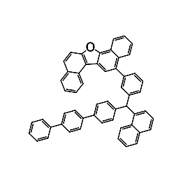 c1ccc(-c2ccc(-c3ccc(C(c4cccc(-c5cc6c(oc7ccc8ccccc8c76)c6ccccc56)c4)c4cccc5ccccc45)cc3)cc2)cc1